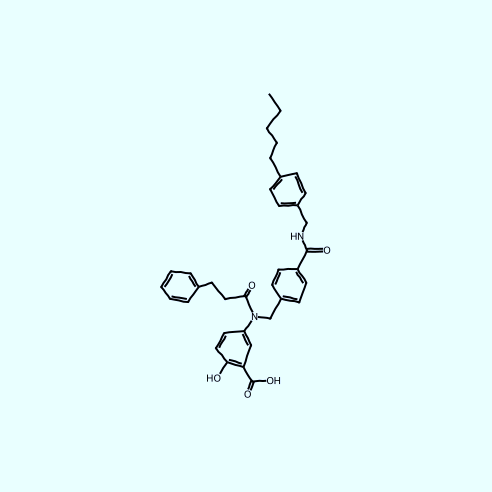 CCCCCc1ccc(CNC(=O)c2ccc(CN(C(=O)CCc3ccccc3)c3ccc(O)c(C(=O)O)c3)cc2)cc1